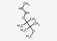 CBBOC(C)(C)C(C)(C)OC